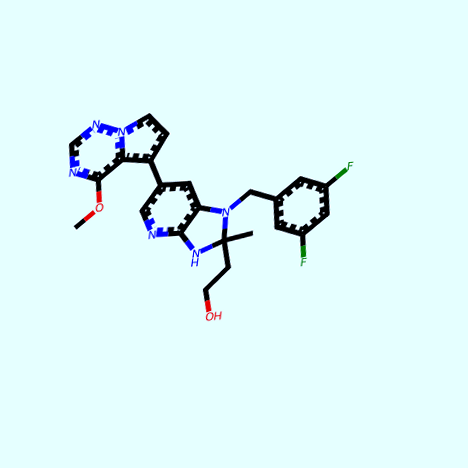 COc1ncnn2ccc(-c3cnc4c(c3)N(Cc3cc(F)cc(F)c3)C(C)(CCO)N4)c12